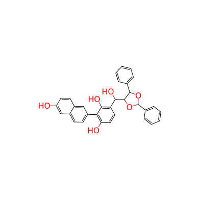 Oc1ccc2cc(-c3c(O)ccc(C(O)C4OC(c5ccccc5)OC4c4ccccc4)c3O)ccc2c1